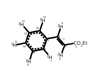 [2H]/C(C(=O)OCC)=C(/[2H])c1c([2H])c([2H])c([2H])c([2H])c1[2H]